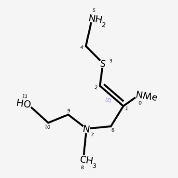 CN/C(=C\SCN)CN(C)CCO